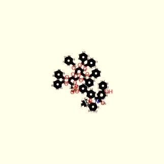 CC(C)(C)[Si](C)(C)Oc1cc(-c2cccc(OS(=O)(=O)C[C@@H]3OC(COCc4ccccc4)[C@@H](O[C@@H]4OC(COCc5ccccc5)[C@H](OCc5ccccc5)[C@@H](OCc5ccccc5)C4OCc4ccccc4)[C@@H](OCc4ccccc4)C3OCc3ccccc3)c2)ccc1[C@H]1N(c2ccccc2)C(=O)C12CCC(O)(c1ccccc1)CC2